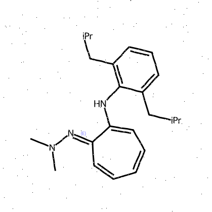 CC(C)Cc1cccc(CC(C)C)c1Nc1ccccc/c1=N\N(C)C